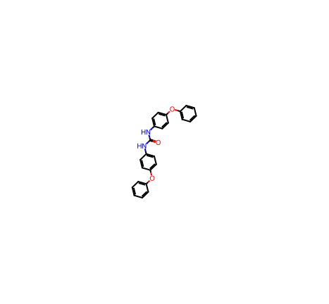 O=C(Nc1ccc(Oc2ccccc2)cc1)Nc1ccc(Oc2ccccc2)cc1